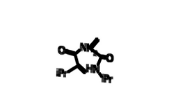 C=C(C(N)=O)C(C)C.C=CC(=O)NC(C)C